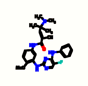 COc1ccc(NC(=O)C(C#N)=CC(C)(C)N(C)C)cc1Nc1ncc(F)c(Nc2ccccc2)n1